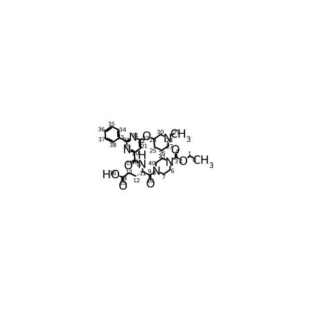 CCOC(=O)N1CCN(C(=O)[C@H](CCC(=O)O)NC(=O)c2cc(OC3CCCN(C)C3)nc(-c3ccccc3)n2)CC1